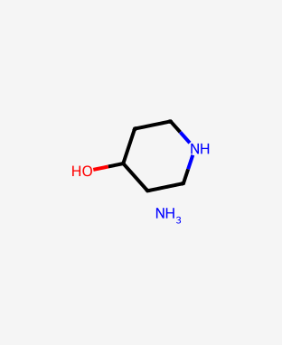 N.OC1CCNCC1